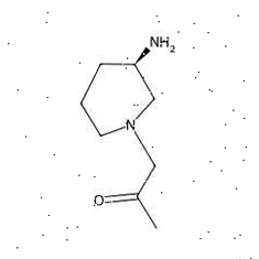 CC(=O)CN1CCC[C@@H](N)C1